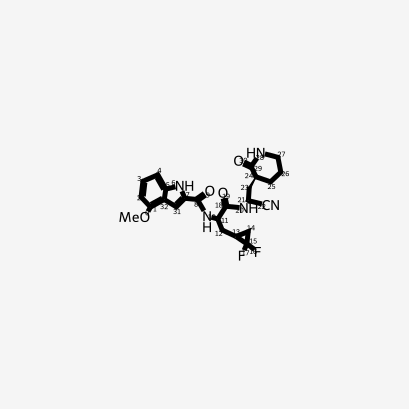 COc1cccc2[nH]c(C(=O)NC(CC3CC3(F)F)C(=O)NC(C#N)C[C@@H]3CCCNC3=O)cc12